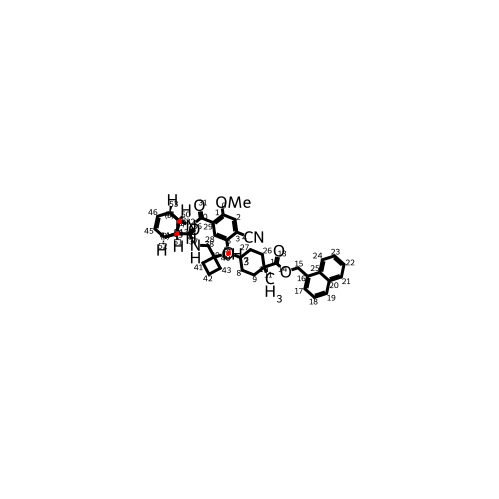 COc1cc(C#N)c(OC2CCC(C)(C(=O)OCc3cccc4ccccc34)CC2)cc1C(=O)N[C@@H]1[C@H](C(=O)NCC2(C)CCC2)[C@H]2C=C[C@@H]1CC2